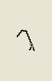 CCCCC/C=C\C/C=C\CCCCCCCCOCN(CCC)CCC